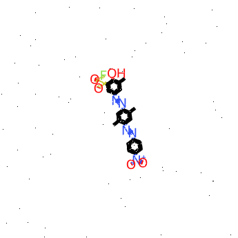 Cc1cc(N=Nc2cc(C)c(O)c(S(=O)(=O)F)c2)c(C)cc1N=Nc1ccc([N+](=O)[O-])cc1